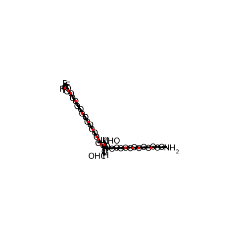 NCCOCCOCCOCCOCCOCCOCCOCCOCCOCCOCCOCCOCCC(=O)NC(COCCC=O)(COCCC=O)COCCC(=O)NCCOCCOCCOCCOCCOCCOCCOCCOCCOCCOCCOCCOCCC(=O)Oc1c(F)c(F)cc(F)c1F